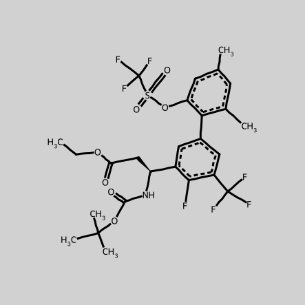 CCOC(=O)C[C@H](NC(=O)OC(C)(C)C)c1cc(-c2c(C)cc(C)cc2OS(=O)(=O)C(F)(F)F)cc(C(F)(F)F)c1F